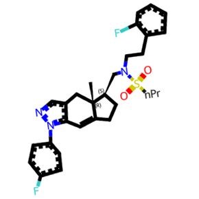 CCCS(=O)(=O)N(CCc1ccccc1F)C[C@H]1CCC2=Cc3c(cnn3-c3ccc(F)cc3)C[C@@]21C